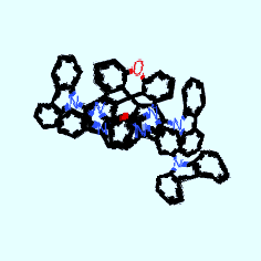 c1cc2c(c(-n3c4ccccc4c4ccccc43)c1)C1(c3cc(-n4c5ccccc5c5ccccc54)cnc3-c3ncc(-n4c5ccccc5c5ccccc54)cc31)c1c(cccc1-n1c3ccccc3c3cc(-n4c5ccccc5c5ccccc54)ccc31)O2